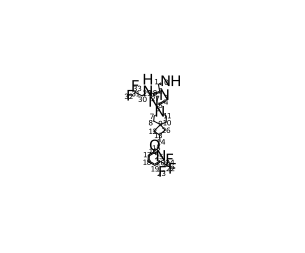 N=Cc1ncc(N2CCC3(CC2)CC(COc2cccc(C(F)(F)F)n2)C3)nc1NCC(F)F